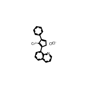 [Cl-].[Cl-].[Cr+2][C]1=C(c2cccc3cccnc23)CC=C1c1ccccc1